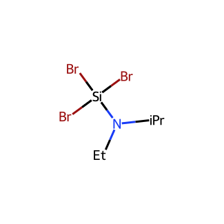 CCN(C(C)C)[Si](Br)(Br)Br